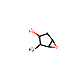 CC1C(O)CC2OC21